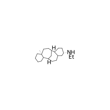 CCN[C@H]1CC[C@H]2C(CC[C@@H]3CC2CC[C@]2(C)CCCCC32)C1